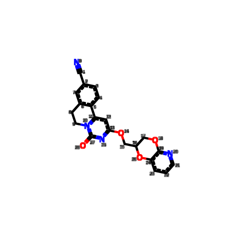 N#Cc1ccc2c(c1)CCn1c-2cc(OCC2COc3ncccc3O2)nc1=O